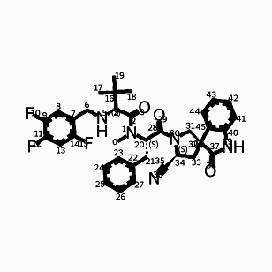 CN(C(=O)[C@@H](NCc1cc(F)c(F)cc1F)C(C)(C)C)[C@@H](Cc1ccccc1)C(=O)N1C[C@]2(C[C@H]1C#N)C(=O)Nc1ccccc12